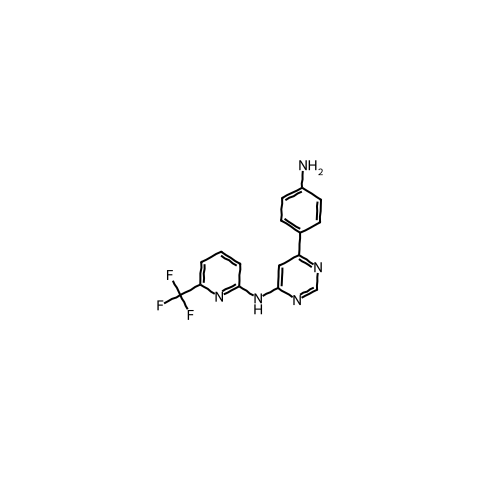 Nc1ccc(-c2cc(Nc3cccc(C(F)(F)F)n3)ncn2)cc1